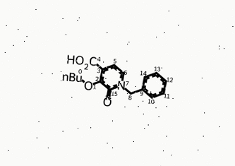 CCCCOc1c(C(=O)O)ccn(Cc2ccccc2)c1=O